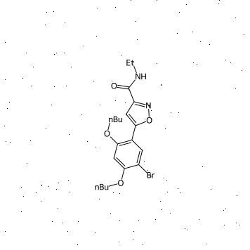 CCCCOc1cc(OCCCC)c(-c2cc(C(=O)NCC)no2)cc1Br